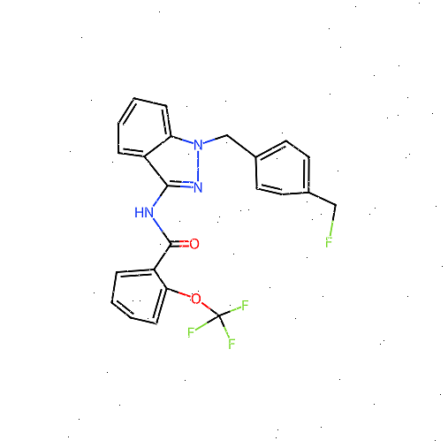 O=C(Nc1nn(Cc2ccc(CF)cc2)c2ccccc12)c1ccccc1OC(F)(F)F